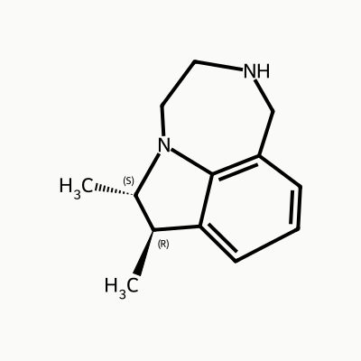 C[C@@H]1c2cccc3c2N(CCNC3)[C@H]1C